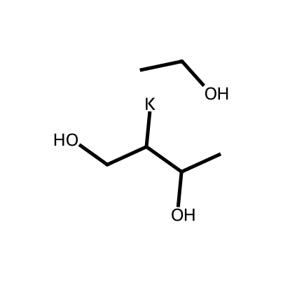 CC(O)[CH]([K])CO.CCO